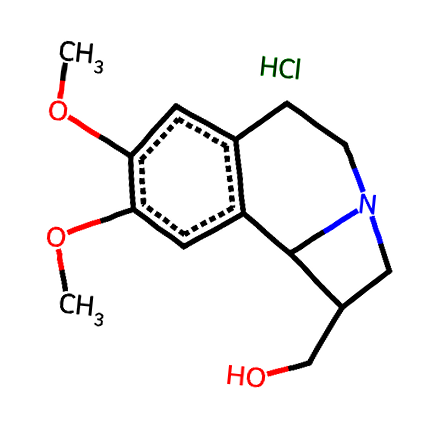 COc1cc2c(cc1OC)C1C(CO)CN1CC2.Cl